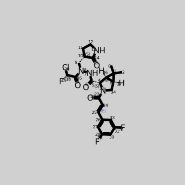 CC1(C)[C@@H]2[C@@H](C(=O)NN(C[C@@H]3CCNC3=O)C(=O)[C@H](F)Cl)N(C(=O)/C=C/c3cc(F)cc(F)c3)C[C@@H]21